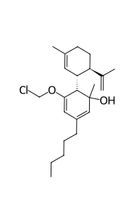 C=C(C)[C@@H]1CCC(C)=C[C@H]1C1C(OCCl)=CC(CCCCC)=CC1(C)O